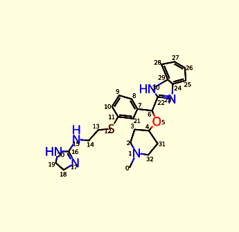 CN1CCC(OC(c2cccc(SCCNC3=NCCN3)c2)c2nc3ccccc3[nH]2)CC1